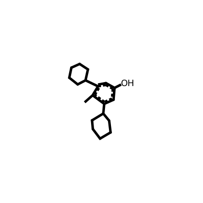 Cc1c(C2CCCCC2)cc(O)cc1C1CCCCC1